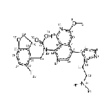 COc1cc2c(-c3ccnn3CCN(C)C)cnc(N(Cc3c(F)ccc4c3CCO4)C(=O)O)c2cn1